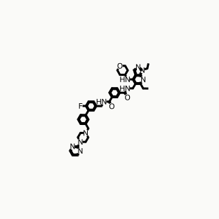 CCc1nc2c(cnn2CC)c(NC2CCOCC2)c1CNC(=O)c1cccc(C(=O)NCc2ccc(F)c(-c3cccc(CN4CCN(c5ncccn5)CC4)c3)c2)c1